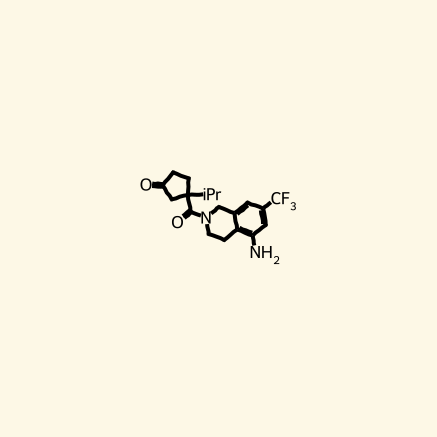 CC(C)C1(C(=O)N2CCc3c(N)cc(C(F)(F)F)cc3C2)CCC(=O)C1